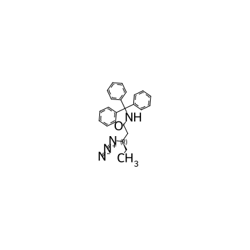 CC[C@H](CC(=O)NC(c1ccccc1)(c1ccccc1)c1ccccc1)N=[N+]=[N-]